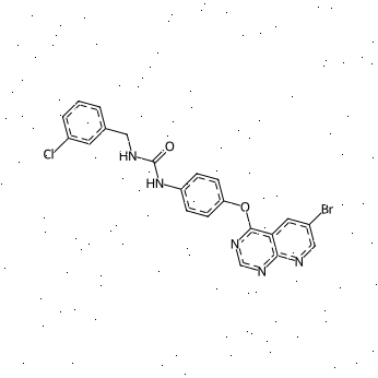 O=C(NCc1cccc(Cl)c1)Nc1ccc(Oc2ncnc3ncc(Br)cc23)cc1